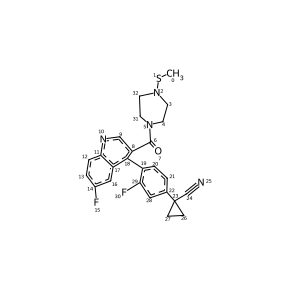 CSN1CCN(C(=O)c2cnc3ccc(F)cc3c2-c2ccc(C3(C#N)CC3)cc2F)CC1